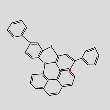 c1ccc(-c2ccc3c(c2)Sc2cc(-c4ccccc4)ccc2N3c2cccc3ccc4cccnc4c23)cc1